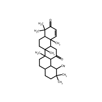 CC1(C)CCC2CCC3(C)C(C(=O)CC4C5(C)C=CC(=O)C(C)(C)C5CCC43C)C2C1C#N